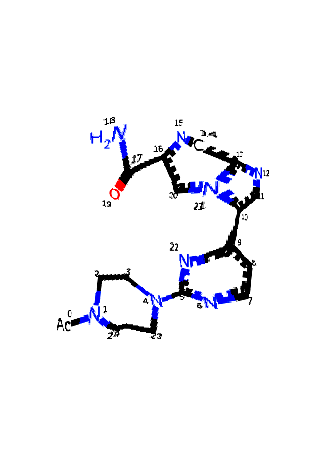 CC(=O)N1CCN(c2nccc(-c3cnc4cnc(C(N)=O)cn34)n2)CC1